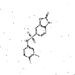 Cc1ccc(NS(=O)(=O)c2ccc3[nH]c(=O)[nH]c3c2)cc1C